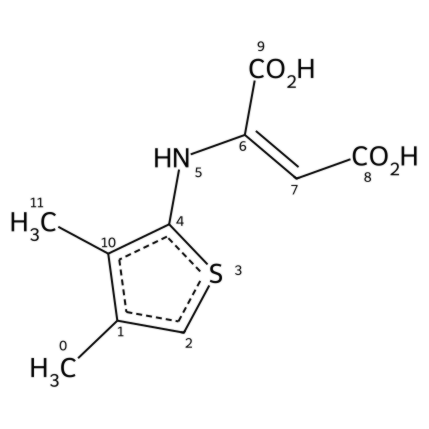 Cc1csc(NC(=CC(=O)O)C(=O)O)c1C